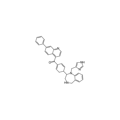 O=C(C1=CCC(C2CNCc3ccccc3N2Cc2c[nH]cn2)C=C1)c1ccnc2cc(-c3ccccc3)ccc12